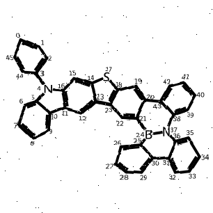 c1ccc(-n2c3ccccc3c3cc4c(cc32)sc2cc3c(cc24)B2c4ccccc4-c4ccccc4N2c2ccccc2-3)cc1